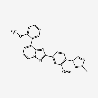 COc1cc(-c2nc3c(-c4ccccc4OC(F)(F)F)cccn3n2)ccc1-n1cnc(C)c1